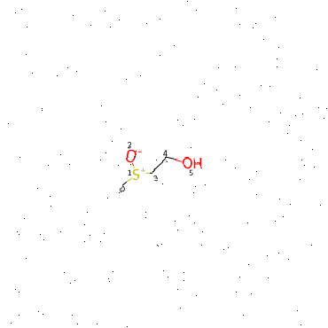 C[S+]([O-])C[CH]O